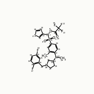 Cc1cc(S(=O)(=O)N(OC(=O)C(F)(F)F)c2cscn2)ccc1N(C)[C@H]1CCN(Cc2cc(F)ccc2F)C1